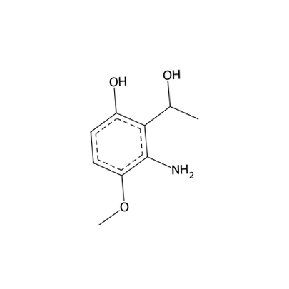 COc1ccc(O)c(C(C)O)c1N